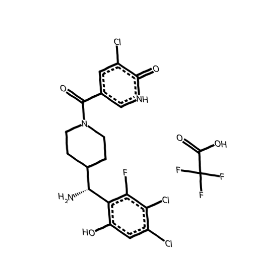 N[C@@H](c1c(O)cc(Cl)c(Cl)c1F)C1CCN(C(=O)c2c[nH]c(=O)c(Cl)c2)CC1.O=C(O)C(F)(F)F